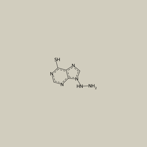 NNn1cnc2c(S)ncnc21